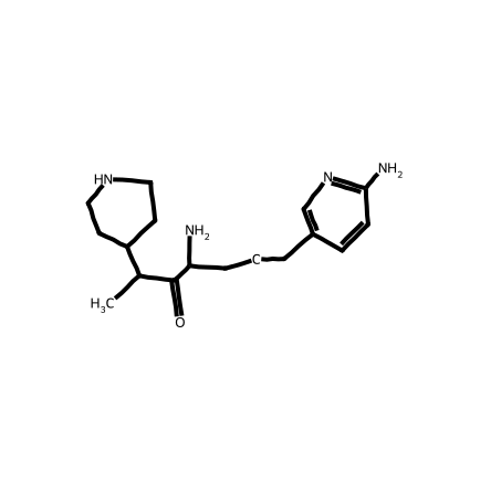 CC(C(=O)C(N)CCCc1ccc(N)nc1)C1CCNCC1